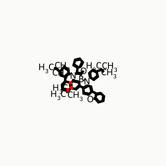 CC(C)(C)c1ccc(N2B3c4oc5ccccc5c4N(c4ccc(C(C)(C)C)cc4-c4ccccc4)c4cc(C(C)(C)C)cc(c43)-c3cc4oc5ccccc5c4cc32)cc1